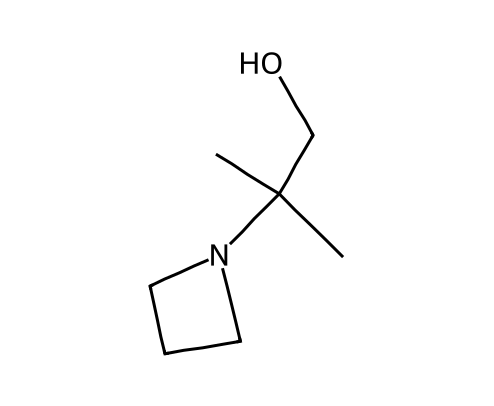 CC(C)(CO)N1CCC1